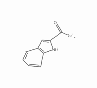 NC(=O)c1cc2[c]cccc2[nH]1